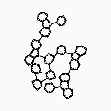 c1ccc(-c2ccccc2-c2cccc(-c3cc(-c4cccc(-n5c6ccccc6c6ccc(-c7ccc8c(c7)c7ccccc7n8-c7ccccc7)cc65)c4)nc(-n4c5ccccc5c5ccc(-c6ccc7c(c6)c6ccccc6n7-c6ccccc6)cc54)n3)c2)cc1